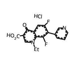 CCn1cc(C(=O)O)c(=O)c2cc(F)c(-c3cccnc3)c(F)c21.Cl